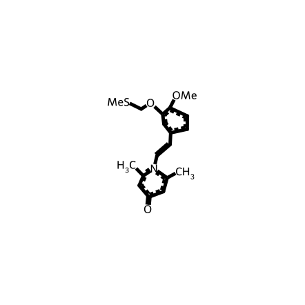 COc1ccc(/C=C/n2c(C)cc(=O)cc2C)cc1OCSC